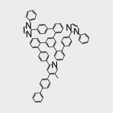 Cc1cnc(-c2ccc(-c3ccccc3-c3cc(-c4ccccc4-c4ccc(-c5nccn5-c5ccccc5)cc4)cc(-c4ccccc4-c4ccc(-c5nccn5-c5ccccc5)cc4)c3)cc2)cc1-c1ccc(-c2ccccc2)cc1